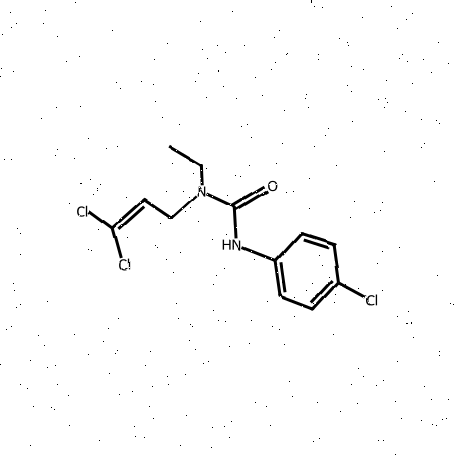 CCN(CC=C(Cl)Cl)C(=O)Nc1ccc(Cl)cc1